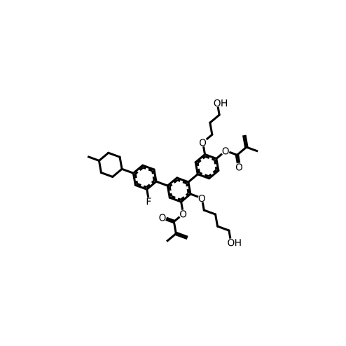 C=C(C)C(=O)Oc1ccc(-c2cc(-c3ccc(C4CCC(C)CC4)cc3F)cc(OC(=O)C(=C)C)c2OCCCCO)cc1OCCCO